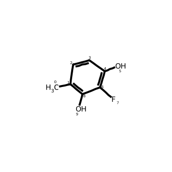 Cc1ccc(O)c(F)c1O